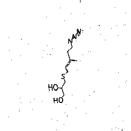 C/C(=C\CSCC(O)CO)CCN=[N+]=[N-]